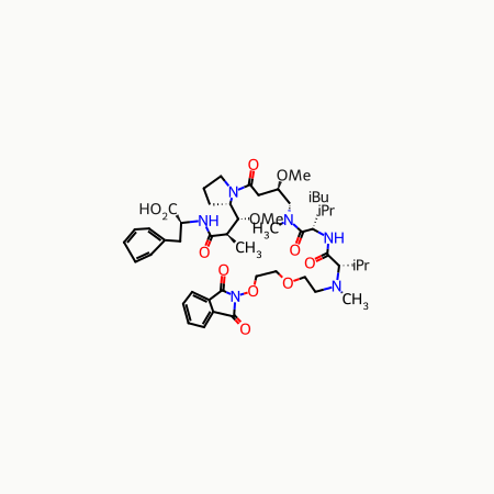 CC[C@H](C)[C@@H]([C@@H](CC(=O)N1CCC[C@H]1[C@H](OC)[C@@H](C)C(=O)N[C@@H](Cc1ccccc1)C(=O)O)OC)N(C)C(=O)[C@@H](NC(=O)[C@H](C(C)C)N(C)CCOCCON1C(=O)c2ccccc2C1=O)C(C)C